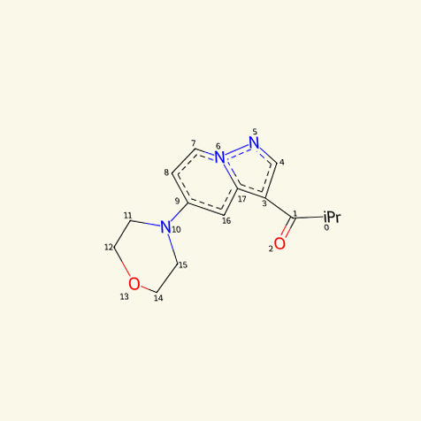 CC(C)C(=O)c1cnn2ccc(N3CCOCC3)cc12